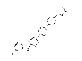 CC(=O)OCC1CCC(c2ccc(-c3cnc(Nc4cccc(F)c4)nc3)cc2)CC1